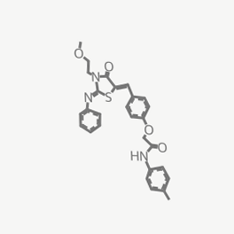 COCCN1C(=O)/C(=C/c2ccc(OCC(=O)Nc3ccc(C)cc3)cc2)S/C1=N\c1ccccc1